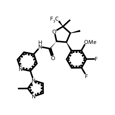 COc1c([C@H]2[C@H](C(=O)Nc3ccnc(-n4ccnc4C)c3)O[C@@](C)(C(F)(F)F)[C@H]2C)ccc(F)c1F